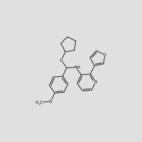 COc1ccc(C(Nc2cccnc2-c2ccoc2)OC2CCCC2)cc1